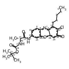 CCCCCc1c2nc3ccc(NC(=O)[C@@H](C)NC(=O)OC(C)(C)C)cc3oc-2cc(=O)c1Cl